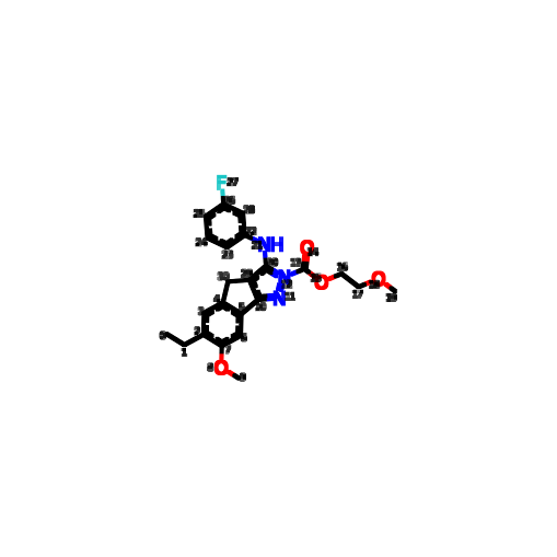 CCc1cc2c(cc1OC)-c1nn(C(=O)OCCOC)c(Nc3cccc(F)c3)c1C2